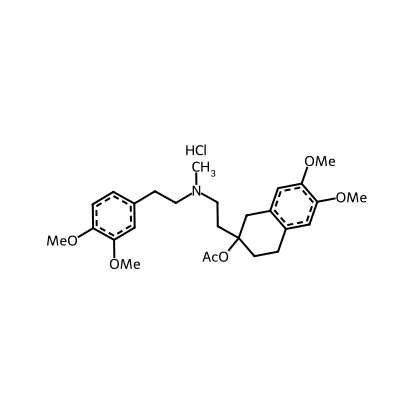 COc1ccc(CCN(C)CCC2(OC(C)=O)CCc3cc(OC)c(OC)cc3C2)cc1OC.Cl